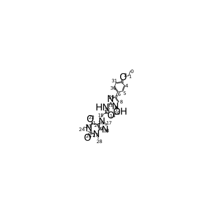 CCOc1ccc(-c2cn(O)c(NC(=O)Cn3cnc4c3c(=O)n(C)c(=O)n4C)n2)cc1